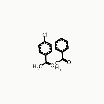 CC(=O)c1ccc(Cl)cc1.CC(=O)c1ccccc1